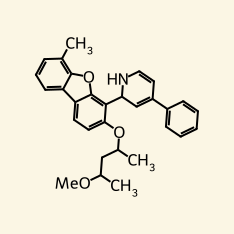 COC(C)CC(C)Oc1ccc2c(oc3c(C)cccc32)c1C1C=C(c2ccccc2)C=CN1